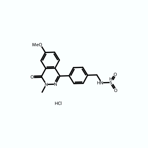 COc1ccc2c(-c3ccc(CN[SH](=O)=O)cc3)nn(C)c(=O)c2c1.Cl